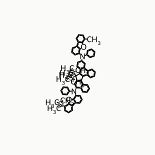 Cc1cccc2c1oc1c(N(c3ccccc3)c3ccc4c5c(c6ccccc6c4c3)-c3c(cc(N(c4ccccc4)c4cccc6c4oc4c([Si](C)(C)C)cccc46)c4ccccc34)C5([Si](C)(C)C)[Si](C)(C)C)cccc12